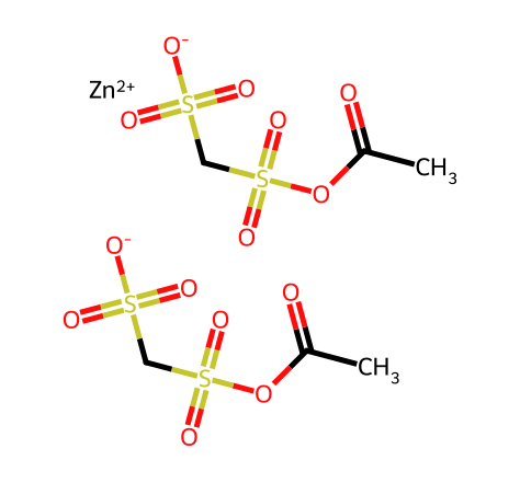 CC(=O)OS(=O)(=O)CS(=O)(=O)[O-].CC(=O)OS(=O)(=O)CS(=O)(=O)[O-].[Zn+2]